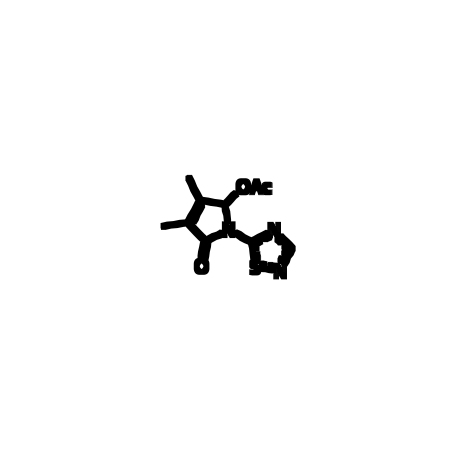 CC(=O)OC1C(C)=C(C)C(=O)N1c1ncns1